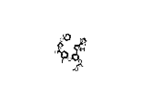 COC[C@H](C)Oc1cc(Oc2ccc(C(=O)N3CC(OC4CCCCO4)C3)cc2F)cc(-c2ccc(-c3nccs3)[nH]2)c1